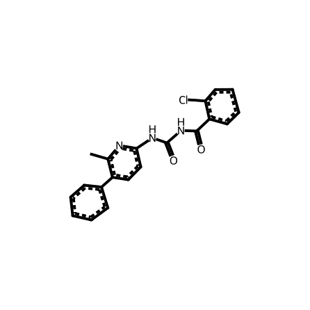 Cc1nc(NC(=O)NC(=O)c2ccccc2Cl)ccc1-c1ccccc1